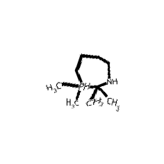 CC1(C)NCCCC[PH]1(C)C